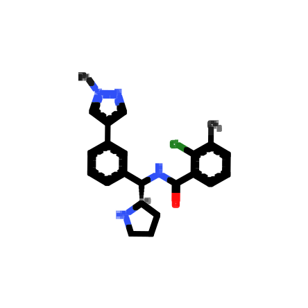 CC(C)n1cc(-c2cccc(C(NC(=O)c3cccc(C(F)(F)F)c3Cl)[C@@H]3CCCN3)c2)cn1